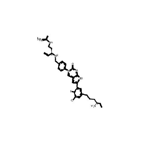 C=C[C@H](N)CCCc1cc(Cl)c(F)c(-c2cc3cn(-c4ccc(CN[C@@H](C=C)CCNC(C)=N)cc4)c(=O)nc3[nH]2)c1